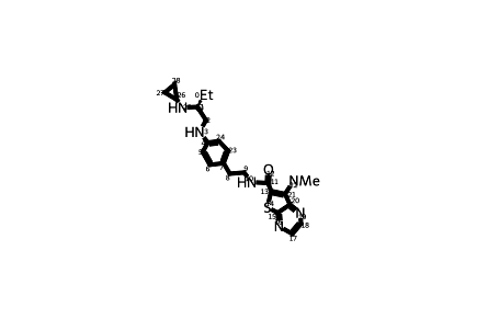 CC[C@@H](CNc1ccc(CCNC(=O)c2sc3nccnc3c2NC)cc1)NC1CC1